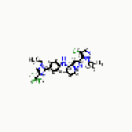 CCn1cc(C(F)(F)F)nc1-c1ccc(N[C@@H]2CCCn3nc(-c4c(Cl)cnn4C(C)C)cc32)cc1